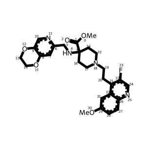 COC(=O)C1(NCc2cc3c(cn2)OCCO3)CCN(CCc2c(F)cnc3ccc(OC)cc23)CC1